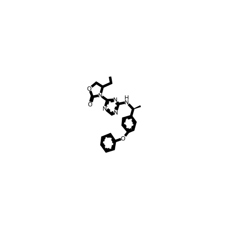 CCC1COC(=O)N1c1ncnc(N[C@@H](C)c2ccc(Oc3ccccc3)cc2)n1